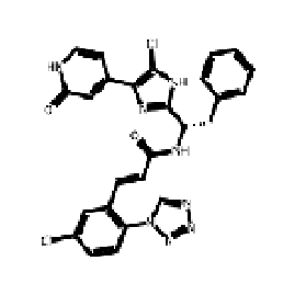 O=C(/C=C/c1cc(Cl)ccc1-n1cnnn1)N[C@@H](Cc1ccccc1)c1nc(-c2cc[nH]c(=O)c2)c(Cl)[nH]1